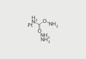 N.N.NOC(N)=O.[Pt]